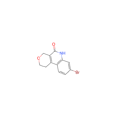 O=c1[nH]c2cc(Br)ccc2c2c1COCC2